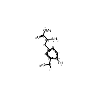 CCCC(I)c1cc(C[C@H](N)C(=O)OC)ccc1O